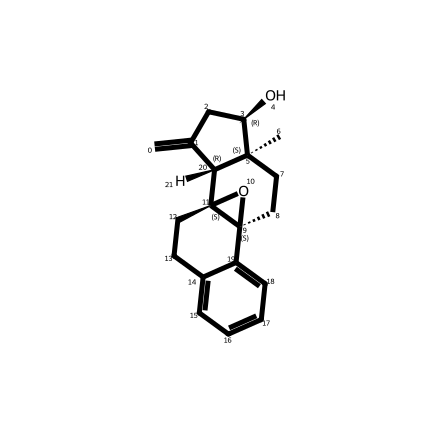 C=C1C[C@@H](O)[C@@]2(C)CC[C@@]34O[C@@]3(CCc3ccccc34)[C@H]12